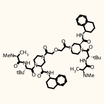 CN[C@@H](C)C(=O)N[C@H](C(=O)N1CCN(C(=O)COCC(=O)N2CCN(C(=O)[C@@H](NC(=O)[C@H](C)NC)C(C)(C)C)[C@H](C(=O)N[C@@H]3CCCc4ccccc43)C2)C[C@H]1C(=O)N[C@@H]1CCCc2ccccc21)C(C)(C)C